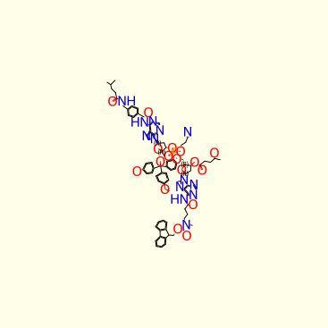 COc1ccc(C(OC[C@H]2O[C@@H](n3cnc4c(NC(=O)c5ccc(CNC(=O)CCC(C)C)cc5)ncnc43)CC2OP(=O)(OCCC#N)OC[C@H]2O[C@@H](n3cnc4c(NC(=O)CCCN(C)C(=O)OCC5c6ccccc6-c6ccccc65)ncnc43)CC2OC(=O)CCC(C)=O)(c2ccccc2)c2ccc(OC)cc2)cc1